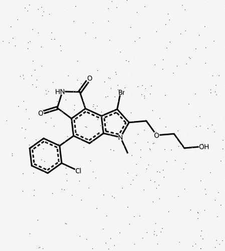 Cn1c(COCCO)c(Br)c2c3c(c(-c4ccccc4Cl)cc21)C(=O)NC3=O